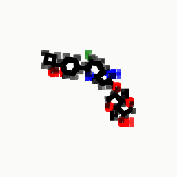 O[C@@H]1CO[C@H]2[C@@H]1OC[C@H]2Oc1cc2nc(-c3ccc(C4(O)CCC4)cc3)c(F)cc2[nH]1